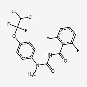 CN(C(=O)NC(=O)c1c(F)cccc1F)c1ccc(OC(F)(F)C(Cl)Cl)cc1